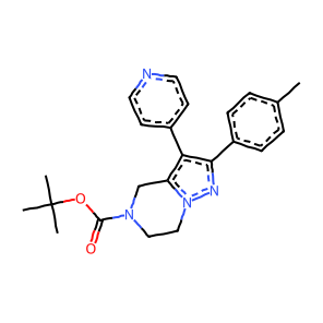 Cc1ccc(-c2nn3c(c2-c2ccncc2)CN(C(=O)OC(C)(C)C)CC3)cc1